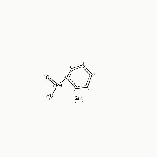 O=[PH](O)c1ccccc1.[SiH4]